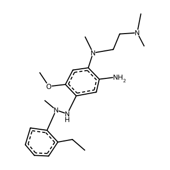 CCc1ccccc1N(C)Nc1cc(N)c(N(C)CCN(C)C)cc1OC